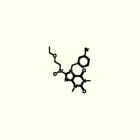 CCOCC[S+]([O-])c1nc2c(c(=O)n(C)c(=O)n2C)n1Cc1cccc(Br)c1